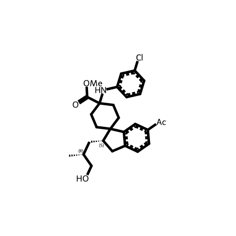 COC(=O)C1(Nc2cccc(Cl)c2)CCC2(CC1)c1cc(C(C)=O)ccc1C[C@@H]2C[C@@H](C)CO